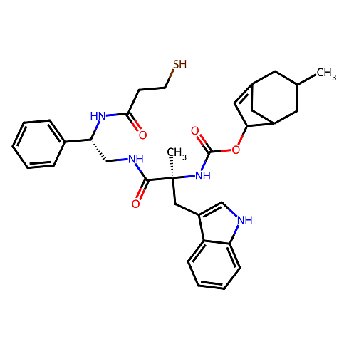 CC1CC2=CC(OC(=O)N[C@@](C)(Cc3c[nH]c4ccccc34)C(=O)NC[C@@H](NC(=O)CCS)c3ccccc3)C(C2)C1